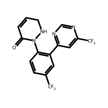 O=C1C=CCNN1c1ccc(C(F)(F)F)cc1-c1cc(C(F)(F)F)ncn1